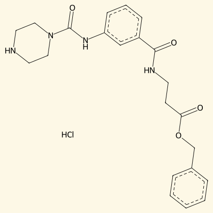 Cl.O=C(CCNC(=O)c1cccc(NC(=O)N2CCNCC2)c1)OCc1ccccc1